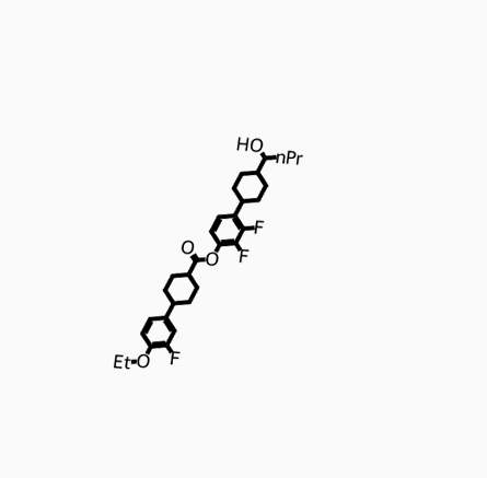 CCCC(O)C1CCC(c2ccc(OC(=O)C3CCC(c4ccc(OCC)c(F)c4)CC3)c(F)c2F)CC1